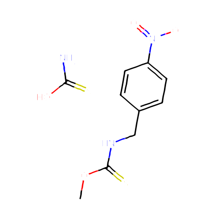 COC(=S)NCc1ccc([N+](=O)[O-])cc1.NC(O)=S